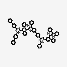 c1ccc(-c2ccc(-c3nc(-c4ccc(-c5ccccc5)cc4)nc(-c4ccc(-c5nc6cc(-c7ccc(-c8nc(-c9ccccc9)nc(-c9cccc(-c%10nc%11ccccc%11c%11c%12ccccc%12n(-c%12ccccc%12)c%10%11)c9)n8)cc7)ccc6c6c7ccccc7n(-c7ccccc7)c56)c5ccccc45)n3)cc2)cc1